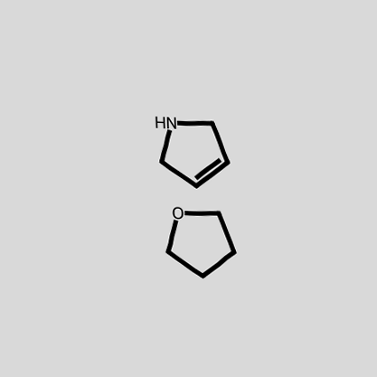 C1=CCNC1.C1CCOC1